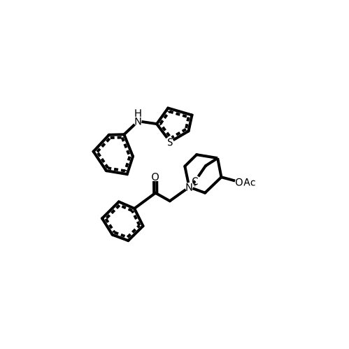 CC(=O)OC1C[N+]2(CC(=O)c3ccccc3)CCC1CC2.c1ccc(Nc2cccs2)cc1